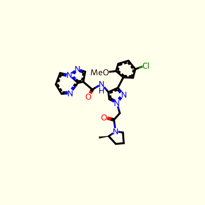 COc1ccc(Cl)cc1-c1nn(CC(=O)N2CCC[C@H]2C)cc1NC(=O)c1cnn2cccnc12